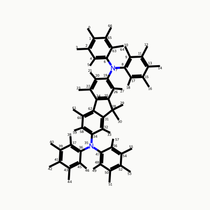 Cc1c(C)c(C)c(N(c2c(C)c(C)c(C)c(C)c2C)c2c(C)c(C)c3c(c2C)C(C)(C)c2c(C)c(N(c4c(C)c(C)c(C)c(C)c4C)c4c(C)c(C)c(C)c(C)c4C)c(C)c(C)c2-3)c(C)c1C